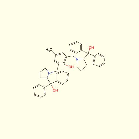 Cc1cc(CN2CCCC2C(O)(c2ccccc2)c2ccccc2)c(O)c(CN2CCCC2C(O)(c2ccccc2)c2ccccc2)c1